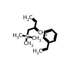 C=CC(=C)C[Si](C)(C)C.C=Cc1ccccc1